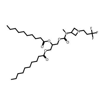 CCCCCCCCCC(=O)OCC(COC(=O)N(C)C1CN(CCC(F)(F)F)C1)OC(=O)CCCCCCCCC